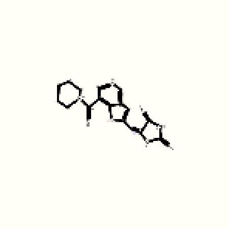 O=C1NC(=S)S/C1=C/c1cc2cncc(C(=O)N3CCCCC3)c2o1